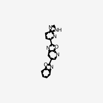 c1ccc2oc(-c3cnc4oc(-c5ccc6nc[nH]c6n5)nc4c3)nc2c1